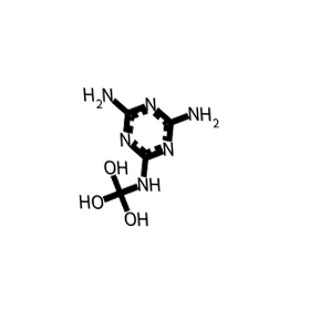 Nc1nc(N)nc(NC(O)(O)O)n1